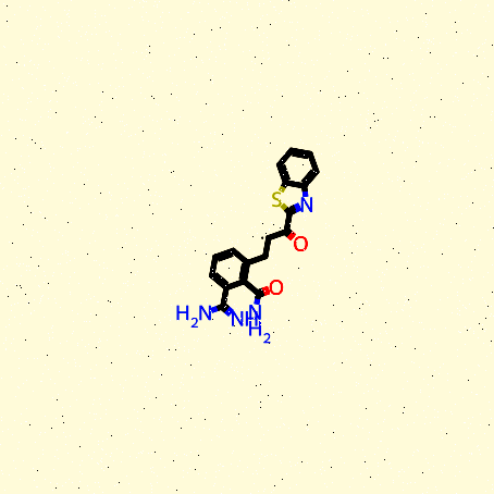 N=C(N)c1cccc(C[CH]C(=O)c2nc3ccccc3s2)c1C(N)=O